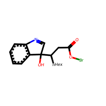 CCCCCCC(CC(=O)OBr)C1(O)C=Nc2ccccc21